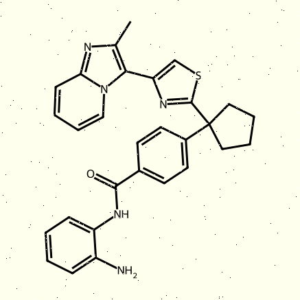 Cc1nc2ccccn2c1-c1csc(C2(c3ccc(C(=O)Nc4ccccc4N)cc3)CCCC2)n1